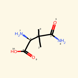 CC(C)(C(N)=O)[C@H](N)C(=O)O